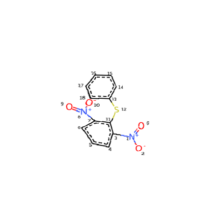 O=[N+]([O-])c1cccc([N+](=O)[O-])c1Sc1ccccc1